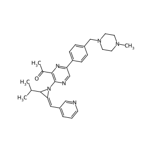 CC(=O)c1nc(-c2ccc(CN3CCN(C)CC3)cc2)cnc1N1/C(=C\c2cccnc2)C1C(C)C